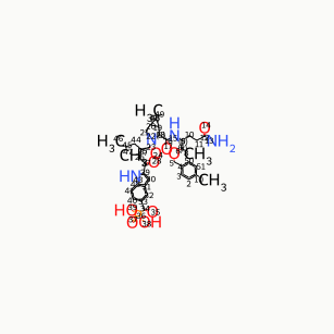 Cc1ccc(CO[C@H](C)[C@H](CCC(N)=O)NC(=O)[C@@H]2C3C(CN2C(=O)[C@@H](CC(=O)c2cc4cc(C(=O)P(=O)(O)O)ccc4[nH]2)CC(C)C)[C@H]3C)cc1